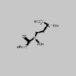 CCCCCC(=O)N(O)CC[C@@H](CC)C(=O)O